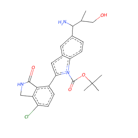 CC(CO)C(N)c1ccc2c(c1)cc(-c1ccc(Cl)c3c1C(=O)NC3)n2C(=O)OC(C)(C)C